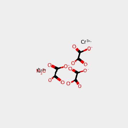 O.O=C([O-])C(=O)[O-].O=C([O-])C(=O)[O-].O=C([O-])C(=O)[O-].[Cr+3].[Cr+3]